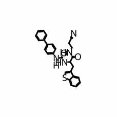 N#CCCNC(=O)C(Cc1csc2ccccc12)NC(=O)Nc1ccc(-c2ccccc2)cc1